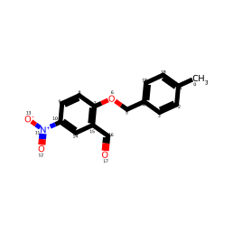 Cc1ccc(COc2ccc([N+](=O)[O-])cc2C=O)cc1